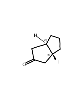 O=C1C[C@H]2CCC[C@@H]2C1